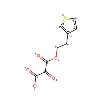 O=C(O)C(=O)C(=O)OCCc1ccsc1